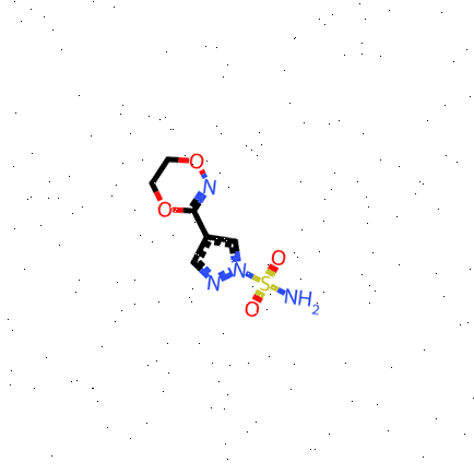 NS(=O)(=O)n1cc(C2=NOCCO2)cn1